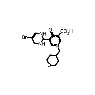 O=C(O)c1cn(CC2CCOCC2)cc(C2NC=C(Br)CN2)c1=O